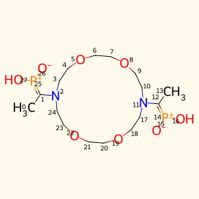 C/C(N1CCOCCOCCN(/C(C)=[P+](\[O-])O)CCOCCOCC1)=[P+](/[O-])O